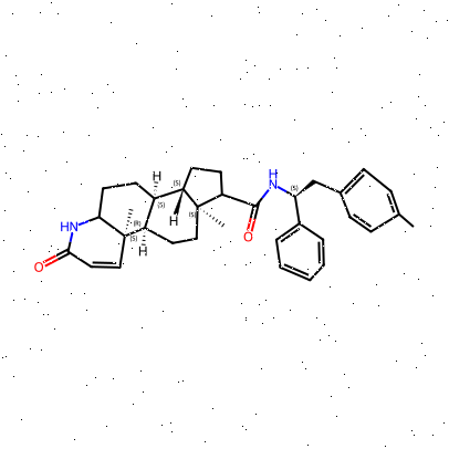 Cc1ccc(C[C@H](NC(=O)C2CC[C@H]3[C@@H]4CCC5NC(=O)C=C[C@]5(C)[C@@H]4CC[C@]23C)c2ccccc2)cc1